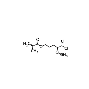 C=C(C)C(=O)OCCCC(O[SiH3])C(Cl)Cl